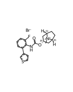 C[N+]1(C)[C@@H]2CC[C@H]1C[C@@H](OC(=O)Nc1c(F)cccc1-c1ccsc1)C2.[Br-]